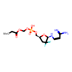 COCC(=O)OCOP(=O)(O)OC[C@@H]1CC(F)(F)[C@H](N/C=C\C(=N)N)O1